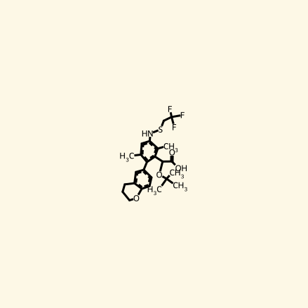 Cc1cc(NSCC(F)(F)F)c(C)c(C(OC(C)(C)C)C(=O)O)c1-c1ccc2c(c1)CCCO2